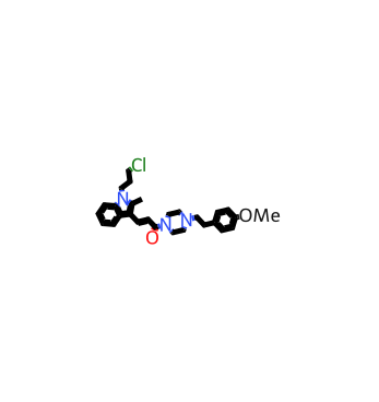 COc1ccc(CCN2CCN(C(=O)/C=C/c3c(C)n(CCCCl)c4ccccc34)CC2)cc1